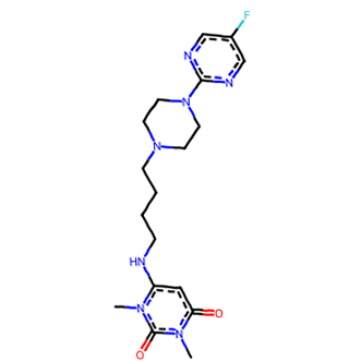 Cn1c(NCCCCN2CCN(c3ncc(F)cn3)CC2)cc(=O)n(C)c1=O